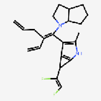 C=CC/C(C=C)=C(/c1c(C)[nH]c2c1C2/C(F)=C/F)N1CCC2CCCC21